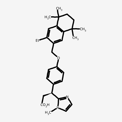 CCc1cc2c(cc1COc1ccc([C@H](CC(=O)O)c3nccn3C)cc1)C(C)(C)CCC2(C)C